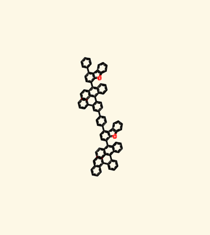 c1ccc(-c2cc(-c3ccc(-c4ccc(-c5c6ccccc6c(-c6ccccc6-c6cccc7ccccc67)c6ccccc56)c5oc6ccccc6c45)cc3)ccc2-c2c3ccccc3c(-c3ccc(-c4ccccc4)c4c3oc3ccccc34)c3ccccc23)cc1